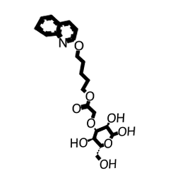 O=C(CO[C@H]1[C@H](O)[C@@H](CO)OC(O)[C@@H]1O)OCCCCCOc1ccc2ccccc2n1